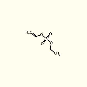 [CH2]COS(=O)(=O)OC=C